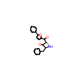 O=C(c1ccc(-c2ccccc2)o1)C1SNC(Cc2ccccc2)C1=O